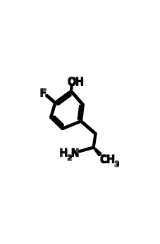 C[C@@H](N)Cc1ccc(F)c(O)c1